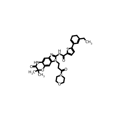 CCC1=CC(c2ccc(C(=O)Nc3nc4cc5c(cc4n3CCC(=O)N3CCOCC3)OC(C)(C)C(=O)N5)s2)=CCC1